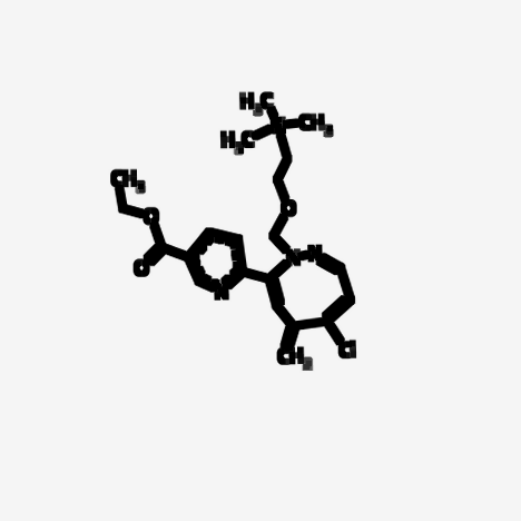 C=C1/C=C(/c2ccc(C(=O)OCC)cn2)N(COCC[Si](C)(C)C)/N=C\C=C/1Cl